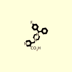 O=C(O)c1cnccc1CN1CCN(C(c2ccccc2)c2ccc(F)cc2)CC1